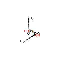 CCCCCCCCCCCCc1cc(CSCc2cc(CCCCCCCCCCCC)c(O)c(C3CCCC3)c2)cc(C2CCCC2)c1O